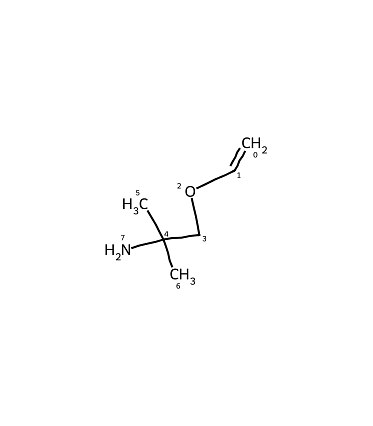 C=COCC(C)(C)N